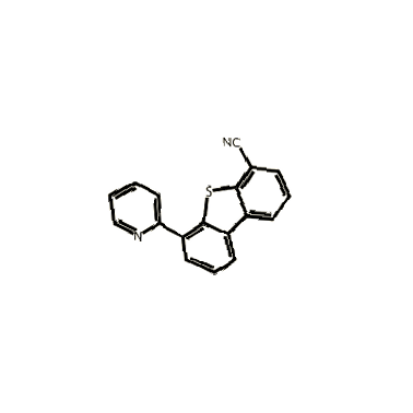 N#Cc1cccc2c1sc1c(-c3ccccn3)cccc12